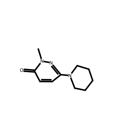 Cn1nc(N2CCCCC2)ccc1=O